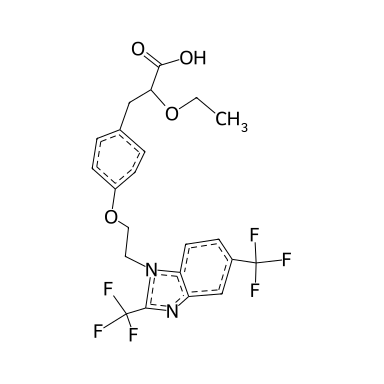 CCOC(Cc1ccc(OCCn2c(C(F)(F)F)nc3cc(C(F)(F)F)ccc32)cc1)C(=O)O